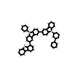 c1ccc(-c2cccc(-n3c4ccccc4c4cc(-c5ccc6c(c5)c5cc(-c7cccc8c7sc7ccccc78)ccc5n6-c5ccccc5)ccc43)c2)cc1